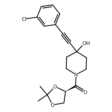 CC1(C)OC[C@H](C(=O)N2CCC(O)(C#Cc3cccc(Cl)c3)CC2)O1